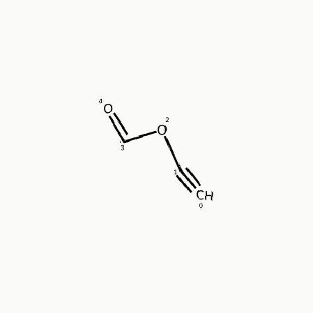 C#CO[C]=O